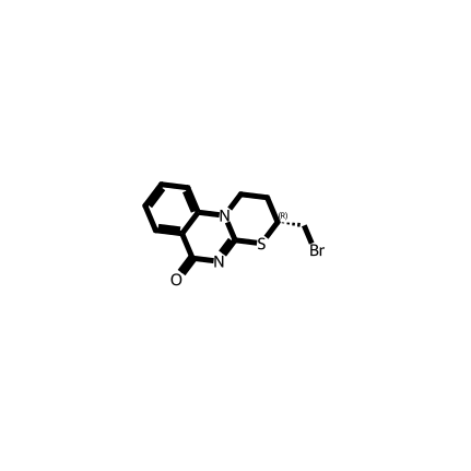 O=c1nc2n(c3ccccc13)CC[C@H](CBr)S2